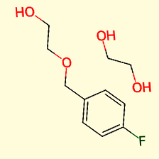 OCCO.OCCOCc1ccc(F)cc1